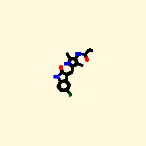 CCCC(=O)Nc1c(C)[nH]c(/C=C2\C(=O)Nc3ccc(F)cc32)c1C